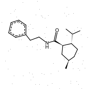 CC(C)[C@@H]1CC[C@@H](C)C[C@H]1C(=O)NCCc1ccccc1